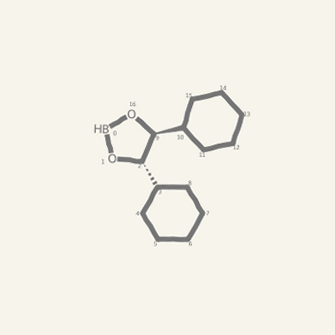 B1O[C@@H](C2CCCCC2)[C@H](C2CCCCC2)O1